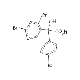 CC(C)c1cc(Br)ccc1C(O)(C(=O)O)c1ccc(Br)cc1